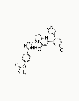 NC(=O)Oc1ccc(-c2ncc([C@@H]3CCc4nc(-c5cc(Cl)ccc5-n5cnnn5)cc(=O)n43)[nH]2)cc1